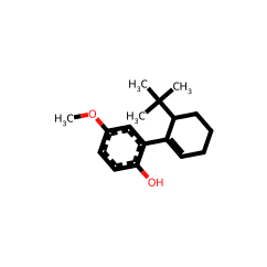 COc1ccc(O)c(C2=CCCCC2C(C)(C)C)c1